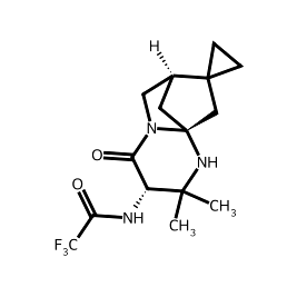 CC1(C)N[C@@]23C[C@@H](CN2C(=O)[C@H]1NC(=O)C(F)(F)F)C1(CC1)C3